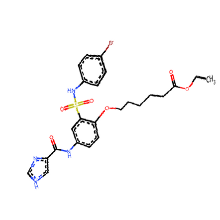 CCOC(=O)CCCCCOc1ccc(NC(=O)c2c[nH]cn2)cc1S(=O)(=O)Nc1ccc(Br)cc1